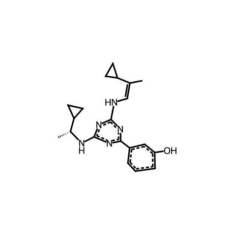 C/C(=C/Nc1nc(N[C@H](C)C2CC2)nc(-c2cccc(O)c2)n1)C1CC1